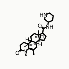 CC1=C2N(C)C(=O)CC[C@]2(C)[C@@H]2CC[C@]3(C)C(C(=O)NC4CCCNC4)CC[C@H]3[C@@H]2C1